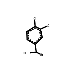 O=CC(Br)c1ccc(Cl)c(Cl)c1